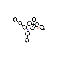 c1ccc(-c2ccc(-c3ccc(N(c4ccc(-c5ccccc5)cc4)c4ccc5c(c4)C(c4ccccc4)(c4ccccc4)c4ccc6c(oc7ccccc76)c4-5)cc3)cc2)cc1